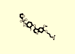 COc1cc2c(Oc3ccc(NS(=O)(=O)c4ccco4)cc3F)ccnc2cc1OCCCN(C)C